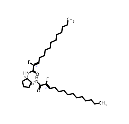 CCCCCCCCCCC/C=C(\F)C(=O)N[C@H]1CCC[C@H]1NC(=O)/C(F)=C/CCCCCCCCCCC